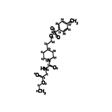 CCOC(=O)CNC(=O)N1CCC(CCOS(=O)(=O)c2ccc(C)cc2)CC1